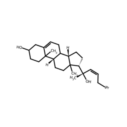 CC(C)C/C=C\[C@](C)(O)[C@H]1CC[C@H]2C3CC=C4CC(O)CCC4(C)[C@H]3CCC21C